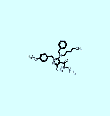 CCCCCN(Cc1ccccc1)c1c(C(=O)NOC)c(C)nn1Cc1ccc(OC)cc1